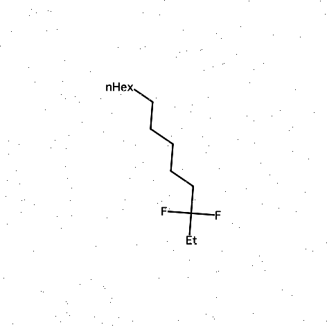 [CH2]CC(F)(F)CCCCCCCCCCC